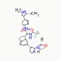 Cc1nn(C)cc1-c1ccc(NC(=O)C(NC(=O)C2(F)CC2)[C@@H]2CCc3ccc(-c4ccnc(N5C[C@@H]6C[C@H]5CO6)c4)cc32)cc1